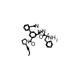 CCC#CC1CCCN1C(=O)c1cc(-c2nnc([C@](C)(N)Cc3ccccc3)o2)cc(-c2ccccc2C#N)c1